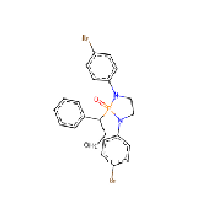 O=CCC(c1ccccc1)P1(=O)N(c2ccc(Br)cc2)CCN1c1ccc(Br)cc1